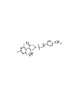 Cc1cc(C)c(C2=C(O)CC(C(C)(C)CSc3ccc(C(F)(F)F)cc3)CC2=O)c(C)c1